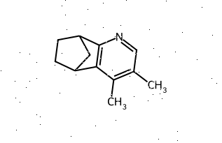 Cc1cnc2c(c1C)C1CCC2C1